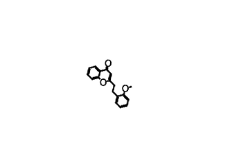 COc1ccccc1CCc1cc(=O)c2ccccc2o1